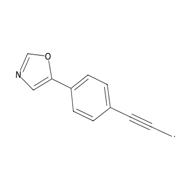 [CH2]C#Cc1ccc(-c2cnco2)cc1